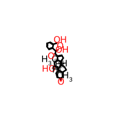 C[C@]12C=CC(=O)C=C1CC[C@@H]1[C@@H]2[C@@H](O)C[C@]2(C)C(C(=O)C(O)c3ccccc3C(=O)O)=CC[C@@H]12